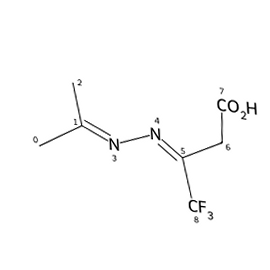 CC(C)=NN=C(CC(=O)O)C(F)(F)F